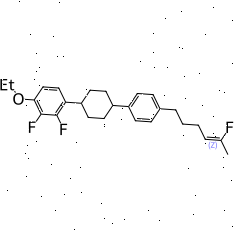 CCOc1ccc(C2CCC(c3ccc(CCC/C=C(/C)F)cc3)CC2)c(F)c1F